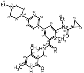 CCN1CCN(c2ccc(-c3cc(C(=O)NCc4c(C)cc(C)[nH]c4=O)c(C)c(N(CC)C(=O)C4CC4)c3)cn2)CC1